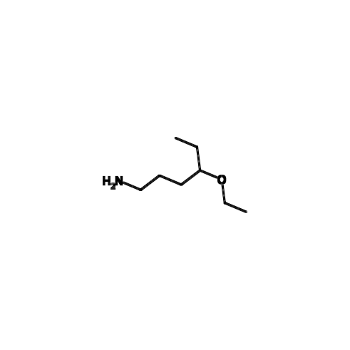 CCOC(CC)CCCN